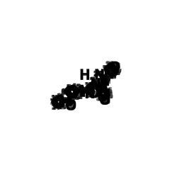 CC(C)(c1cccc(C(=O)c2ccccc2)c1)c1cc(/N=C(/N=C(\N)N2CCOCC2)N2CCOCC2)on1